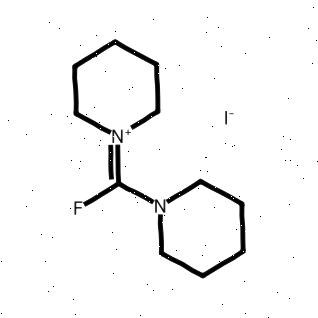 FC(N1CCCCC1)=[N+]1CCCCC1.[I-]